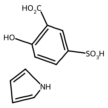 O=C(O)c1cc(S(=O)(=O)O)ccc1O.c1cc[nH]c1